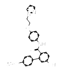 COc1ccc(-c2cc(C)ccc2C(=O)Nc2ccc(OCCn3cccn3)cc2)cc1